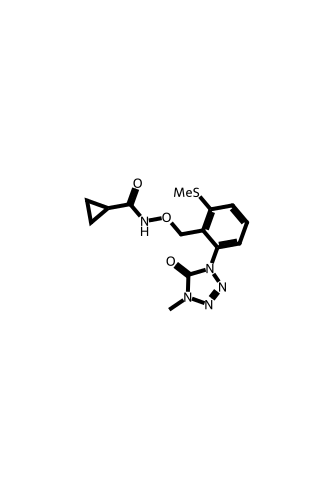 CSc1cccc(-n2nnn(C)c2=O)c1CONC(=O)C1CC1